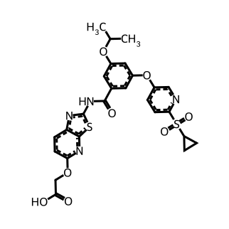 CC(C)Oc1cc(Oc2ccc(S(=O)(=O)C3CC3)nc2)cc(C(=O)Nc2nc3ccc(OCC(=O)O)nc3s2)c1